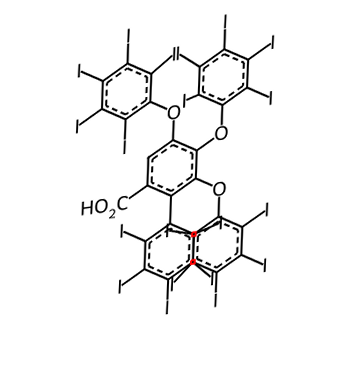 O=C(O)c1cc(Oc2c(I)c(I)c(I)c(I)c2I)c(Oc2c(I)c(I)c(I)c(I)c2I)c(Oc2c(I)c(I)c(I)c(I)c2I)c1-c1c(I)c(I)c(I)c(I)c1I